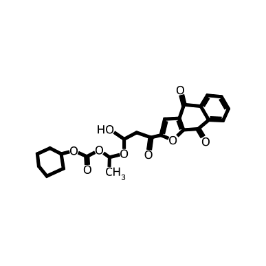 CC(OC(=O)OC1CCCCC1)OC(O)CC(=O)c1cc2c(o1)C(=O)c1ccccc1C2=O